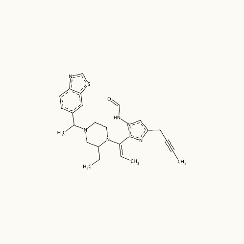 CC#CCc1cn(NC=O)c(/C(=C\C)N2CCN(C(C)c3ccc4ncsc4c3)CC2CC)n1